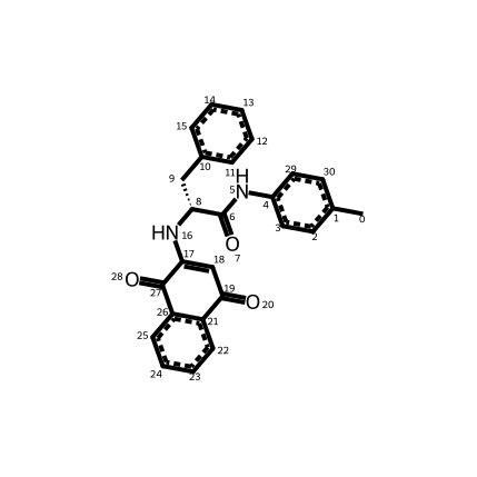 Cc1ccc(NC(=O)[C@@H](Cc2ccccc2)NC2=CC(=O)c3ccccc3C2=O)cc1